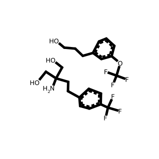 NC(CO)(CO)CCc1ccc(C(F)(F)F)cc1.OCCCc1cccc(OC(F)(F)F)c1